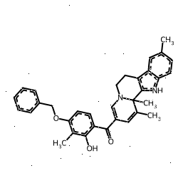 CC1=CC(C(=O)c2ccc(OCc3ccccc3)c(C)c2O)=CN2CCc3c([nH]c4ccc(C)cc34)C12C